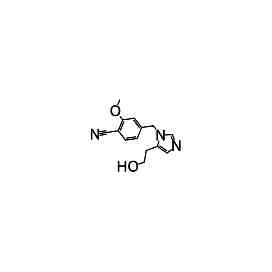 COc1cc(Cn2cncc2CCO)ccc1C#N